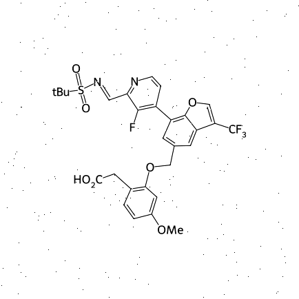 COc1ccc(CC(=O)O)c(OCc2cc(-c3ccnc(C=NS(=O)(=O)C(C)(C)C)c3F)c3occ(C(F)(F)F)c3c2)c1